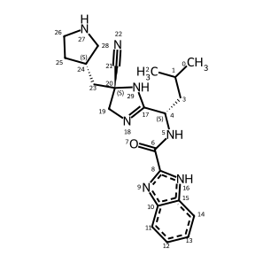 CC(C)C[C@H](NC(=O)c1nc2ccccc2[nH]1)C1=NC[C@](C#N)(C[C@@H]2CCNC2)N1